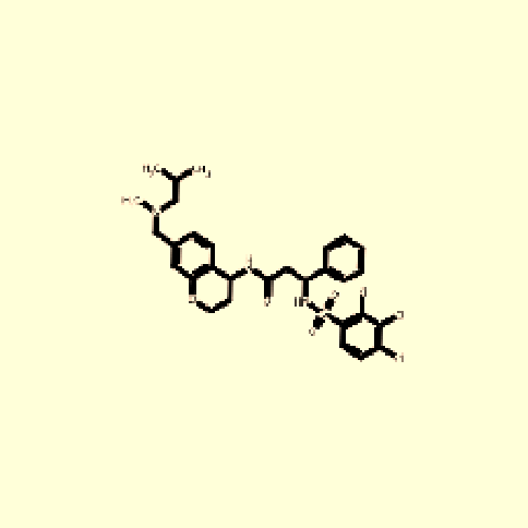 CC(C)CN(C)Cc1ccc2c(c1)OCCC2NC(=O)CC(NS(=O)(=O)c1ccc(Cl)c(Cl)c1Cl)c1ccccc1